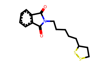 O=C1c2ccccc2C(=O)N1CCCCCC1CCSS1